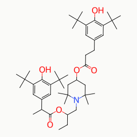 CCC(CN1C(C)(C)CC(OC(=O)CCc2cc(C(C)(C)C)c(O)c(C(C)(C)C)c2)CC1(C)C)OC(=O)C(C)c1cc(C(C)(C)C)c(O)c(C(C)(C)C)c1